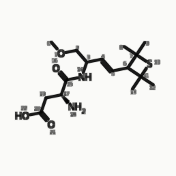 COCC(/C=C/C1C(C)(C)SC1(C)C)NC(=O)[C@@H](N)CC(=O)O